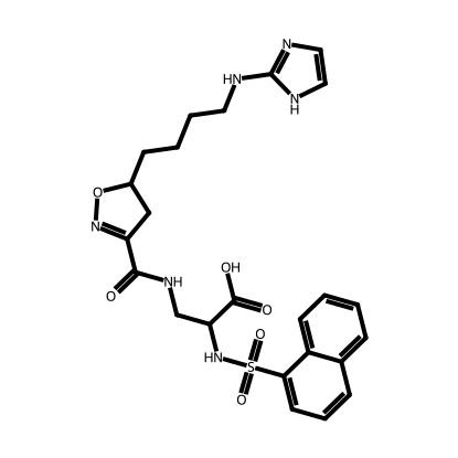 O=C(NCC(NS(=O)(=O)c1cccc2ccccc12)C(=O)O)C1=NOC(CCCCNc2ncc[nH]2)C1